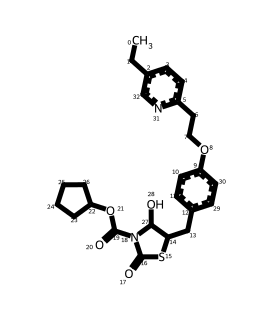 CCc1ccc(CCOc2ccc(CC3SC(=O)N(C(=O)OC4CCCC4)C3O)cc2)nc1